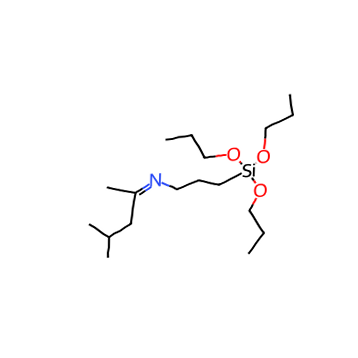 CCCO[Si](CCCN=C(C)CC(C)C)(OCCC)OCCC